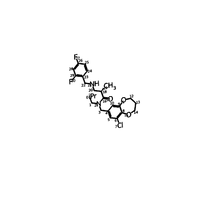 CC(C)CN(Cc1cc(Cl)c2c(c1)OCCCO2)C(=O)[C@H](C)CNCc1ccc(F)cc1F